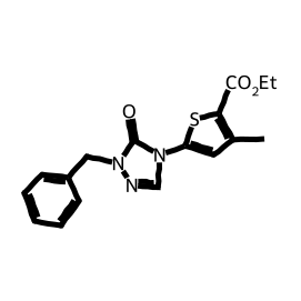 CCOC(=O)c1sc(-n2cnn(Cc3ccccc3)c2=O)cc1C